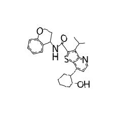 CC(C)c1c(C(=O)NC2CCOc3ccccc32)sc2c(C3CCCCC3O)ccnc12